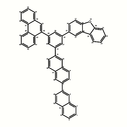 c1ccc2cc(-c3ccc4cc(-c5cc(-c6ccc7oc8ccccc8c7c6)cc(-c6cc7ccccc7c7ccccc67)c5)ccc4c3)ccc2c1